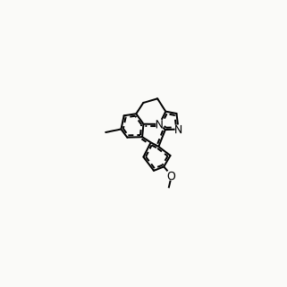 COc1ccc2c(c1)c1ncc3n1c1c(cc(C)cc21)CC3